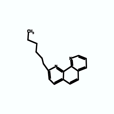 CCCCCCc1ccc2ccc3cccnc3c2n1